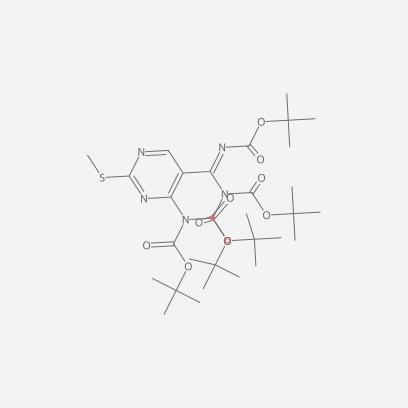 CSc1ncc(/C(=N/C(=O)OC(C)(C)C)N(C(=O)OC(C)(C)C)C(=O)OC(C)(C)C)c(N(C(=O)OC(C)(C)C)C(=O)OC(C)(C)C)n1